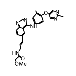 COCC(=O)NC/C=C/c1ccc2ncnc(Nc3ccc(Oc4cnc(C)nc4)c(C)c3)c2c1